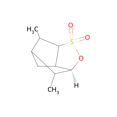 CC1C2CC3C1S(=O)(=O)O[C@H]3C2C